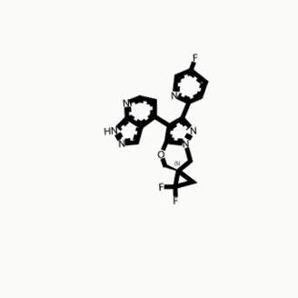 Fc1ccc(-c2nn3c(c2-c2ccnc4[nH]ncc24)OC[C@@]2(C3)CC2(F)F)nc1